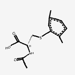 CC(=O)N[C@@H](CSc1cc(C)ccc1C)C(=O)O